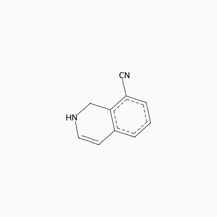 N#Cc1cccc2c1CNC=C2